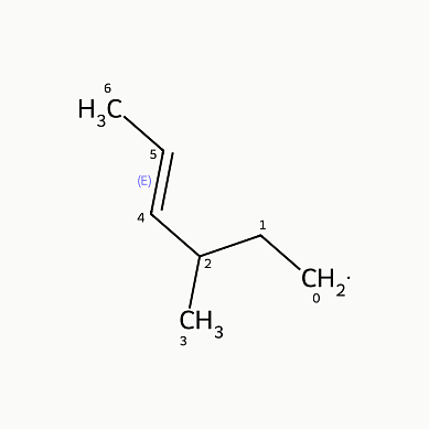 [CH2]CC(C)/C=C/C